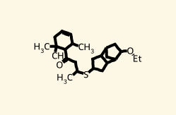 CCOC1CC2CC1C1CC(SC(C)CC(=O)C3C(C)C=CCC3(C)C)CC21